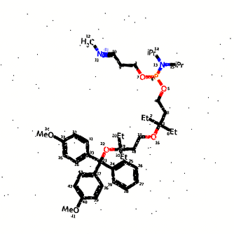 CCC(CC)(CCOP(OCC/C=N/C)N(C(C)C)C(C)C)OCCC(CC)(CC)OC(c1ccccc1)(c1ccc(OC)cc1)c1ccc(OC)cc1